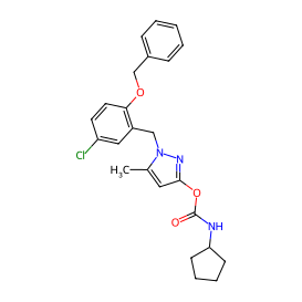 Cc1cc(OC(=O)NC2CCCC2)nn1Cc1cc(Cl)ccc1OCc1ccccc1